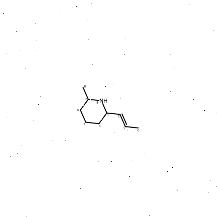 C/C=C/C1CCCC(C)N1